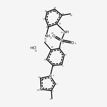 Cc1cn(-c2ccc(S(=O)(=O)Nc3c(C)cccc3N)c(C)c2)cn1.Cl